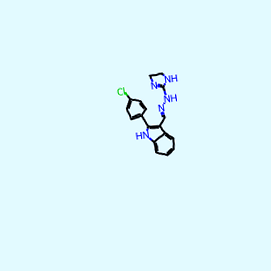 Clc1ccc(-c2[nH]c3ccccc3c2C=NNC2=NCCN2)cc1